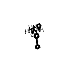 O=C1NCC2=C1C(c1ccc(C#Cc3ccccc3)cc1)Nc1ccccc1N2